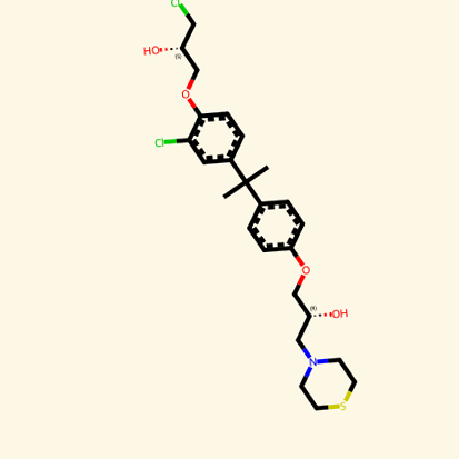 CC(C)(c1ccc(OC[C@H](O)CN2CCSCC2)cc1)c1ccc(OC[C@H](O)CCl)c(Cl)c1